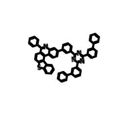 c1ccc(-c2cccc(-c3nc(-c4cccc(-c5ccccc5)c4)nc(-c4cccc(-c5ccc6c(c5)nc(-c5ccccc5)c5ccc7sc8ccccc8c7c56)c4)n3)c2)cc1